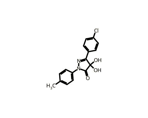 Cc1ccc(N2N=C(c3ccc(Cl)cc3)C(O)(O)C2=O)cc1